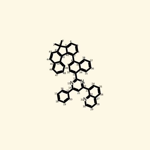 CC1(C)c2cccc(-c3ccc(-c4nc(-c5ccccc5)cc(-c5cccc6cccnc56)n4)c4ccccc34)c2-c2c1ccc1ccccc21